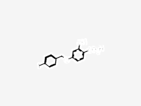 O=C(O)c1ccc(OCC2=C=C=C(I)C=C2)cc1O